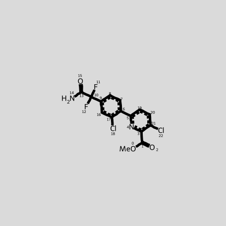 COC(=O)c1nc(-c2ccc(C(F)(F)C(N)=O)cc2Cl)ccc1Cl